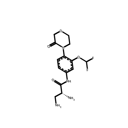 NC[C@@H](N)C(=O)Nc1ccc(N2CCOCC2=O)c(OC(F)F)c1